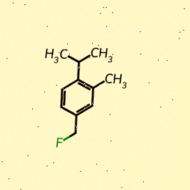 Cc1cc(CF)ccc1C(C)C